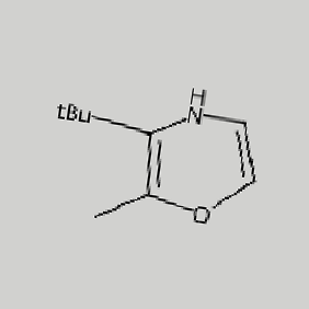 CC1=C(C(C)(C)C)NC=CO1